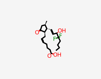 CCCCC(F)(F)[C@H](O)/C=C/[C@H]1[C@H](C)CC(=O)[C@@H]1C/C=C\CCCC(=O)O